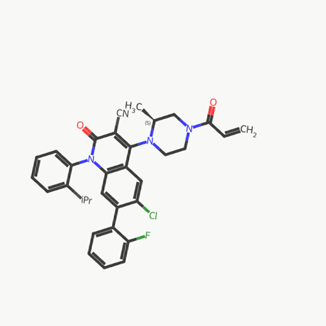 C=CC(=O)N1CCN(c2c(C#N)c(=O)n(-c3ccccc3C(C)C)c3cc(-c4ccccc4F)c(Cl)cc23)[C@@H](C)C1